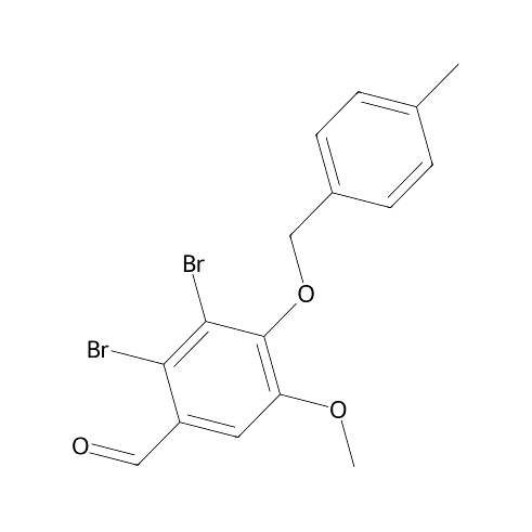 COc1cc(C=O)c(Br)c(Br)c1OCc1ccc(C)cc1